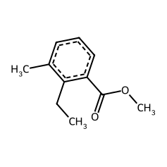 CCc1c(C)cccc1C(=O)OC